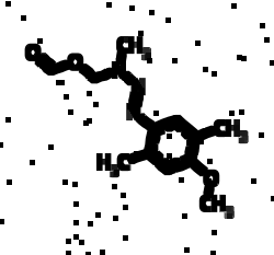 COc1cc(C)c(/N=N/N(C)COC=O)cc1C